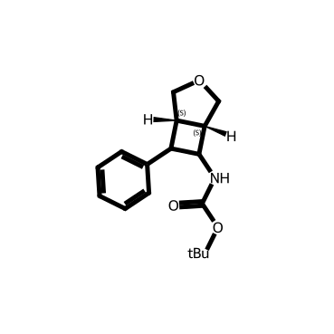 CC(C)(C)OC(=O)NC1C(c2ccccc2)[C@@H]2COC[C@H]12